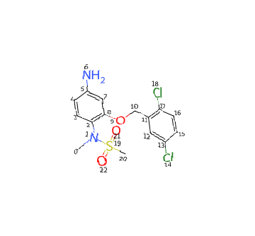 CN(c1ccc(N)cc1OCc1cc(Cl)ccc1Cl)S(C)(=O)=O